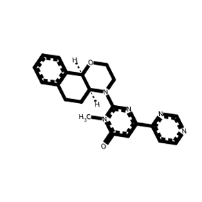 Cn1c(N2CCO[C@@H]3c4ccccc4CC[C@@H]32)nc(-c2ccncn2)cc1=O